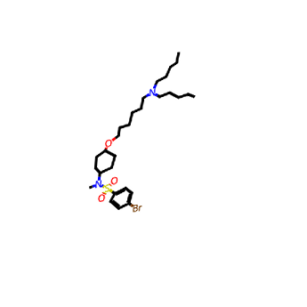 CCCCCN(CCCCC)CCCCCCOC1CCC(N(C)S(=O)(=O)c2ccc(Br)cc2)CC1